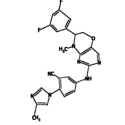 Cc1cn(-c2ccc(Nc3ncc4c(n3)N(C)C(c3cc(F)cc(F)c3)CO4)cc2C#N)cn1